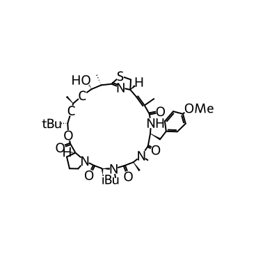 CC[C@H](C)[C@H]1C(=O)N2CCC[C@H]2C(=O)O[C@H](C(C)(C)C)C[C@@H](C)C[C@H](O)[C@H](C)C2=N[C@@H](/C=C(\C)C(=O)N[C@@H](Cc3ccc(OC)cc3)C(=O)N(C)[C@@H](C)C(=O)N1C)CS2